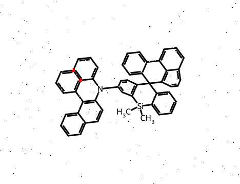 C[Si]1(C)c2ccccc2C2(c3ccccc3-c3cccc4cccc2c34)c2ccc(N(c3ccccc3)c3ccc4ccccc4c3-c3ccccc3)cc21